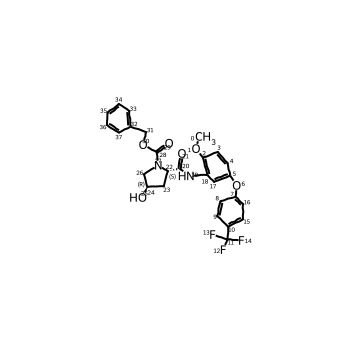 COc1ccc(Oc2ccc(C(F)(F)F)cc2)cc1NC(=O)[C@@H]1C[C@@H](O)CN1C(=O)OCc1ccccc1